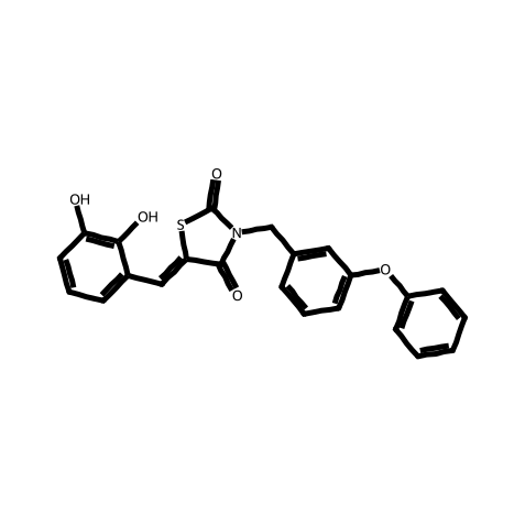 O=C1SC(=Cc2cccc(O)c2O)C(=O)N1Cc1cccc(Oc2ccccc2)c1